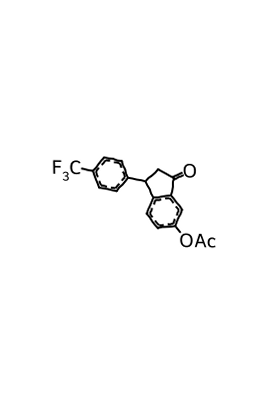 CC(=O)Oc1ccc2c(c1)C(=O)CC2c1ccc(C(F)(F)F)cc1